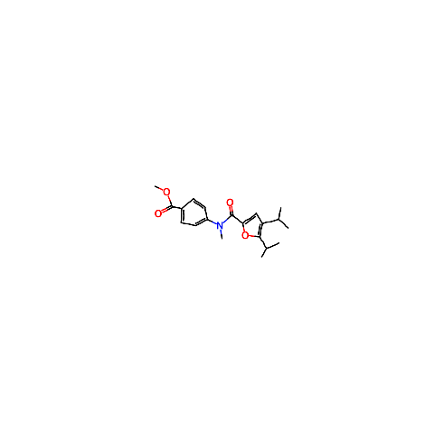 COC(=O)c1ccc(N(C)C(=O)c2cc(C(C)C)c(C(C)C)o2)cc1